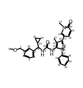 COCc1cccc(C(NC(=O)Nc2c(C)c(-c3ccc(=O)n(C)c3)nn2-c2ccccc2)C2CC2)c1